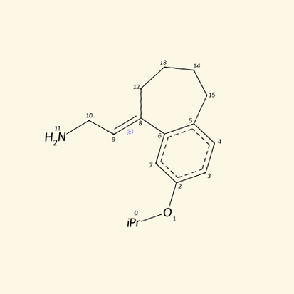 CC(C)Oc1ccc2c(c1)/C(=C/CN)CCCC2